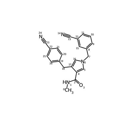 CNC(=O)c1cn(Cc2cccc(C#N)c2)cc1Cc1ccc(C#N)cc1